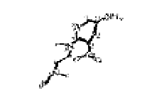 CN(C)CCN(C)c1ncc(N)cc1[N+](=O)[O-]